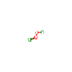 ClOOCl